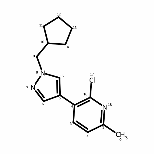 Cc1ccc(-c2cnn(CC3CCCC3)c2)c(Cl)n1